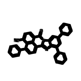 N#Cc1ccc2c(=O)n3c4cc(-c5ccccc5)cc(-c5ccccc5)c4nc3c3ccc(-c4ccccc4)c1c23